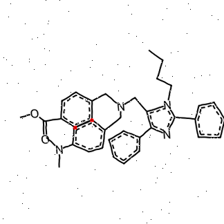 CCCCn1c(-c2ccccc2)nc(-c2ccccc2)c1CN(Cc1ccc(C(=O)OC)cc1)Cc1ccc(N(C)C)cc1